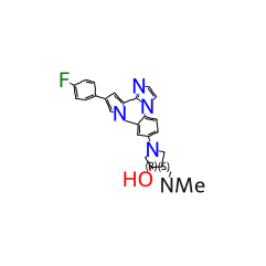 CNC[C@H]1CN(c2ccc3c(c2)Cn2cc(-c4ccc(F)cc4)cc2-c2nccn2-3)C[C@@H]1O